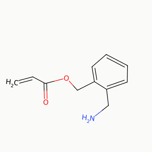 C=CC(=O)OCc1ccccc1CN